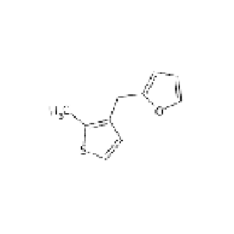 Cc1sccc1Cc1ccco1